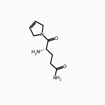 NC(=O)CC[C@H](N)C(=O)N1CC=CC1